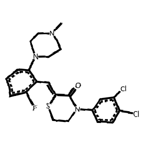 CN1CCN(c2cccc(F)c2C=C2SCCN(c3ccc(Cl)c(Cl)c3)C2=O)CC1